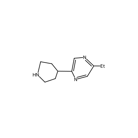 CCc1cnc(C2CCNCC2)cn1